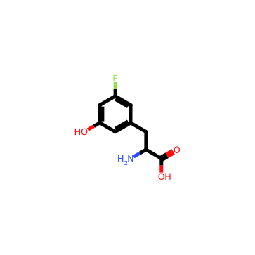 NC(Cc1cc(O)cc(F)c1)C(=O)O